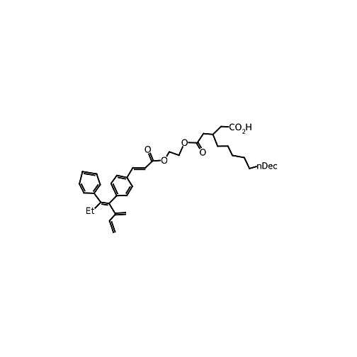 C=CC(=C)/C(=C(\CC)c1ccccc1)c1ccc(/C=C/C(=O)OCCOC(=O)CC(CCCCCCCCCCCCCCC)CC(=O)O)cc1